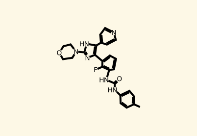 Cc1ccc(NC(=O)Nc2cccc(-c3nc(N4CCOCC4)[nH]c3-c3ccncc3)c2F)cc1